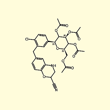 CC(=O)OC[C@H]1O[C@@H](c2ccc(Cl)c(Cc3ccc4c(c3)NCC(C#N)O4)c2)C(OC(C)=O)[C@@H](OC(C)=O)C1OC(C)=O